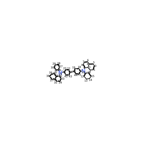 C1=CCC2C(=C1)C=CC=C2N(C1=CCCC=C1)c1ccc(-c2ccc(N(c3ccccc3)c3cccc4ccccc34)cc2)cc1